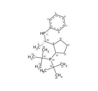 C[C@H](Pc1ccccc1)C1CCCC1P(C(C)(C)C)C(C)(C)C